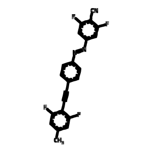 Cc1cc(F)c(C#Cc2ccc(N=Nc3cc(F)c(C#N)c(F)c3)cc2)c(F)c1